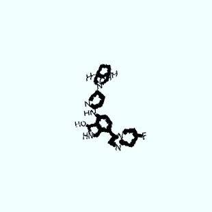 OC1NCc2c(-c3cnc4cc(F)ccn34)ccc(Nc3ccc(N4C[C@H]5CC[C@@H](C4)C5O)cn3)c21